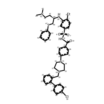 CCc1ccc(S(=O)(=O)NC(=O)c2ccc(N3CCN(Cc4ccccc4-c4ccc(Cl)cc4)CC3)cc2)cc1N[C@H](CCN(C)C)CSc1ccccc1